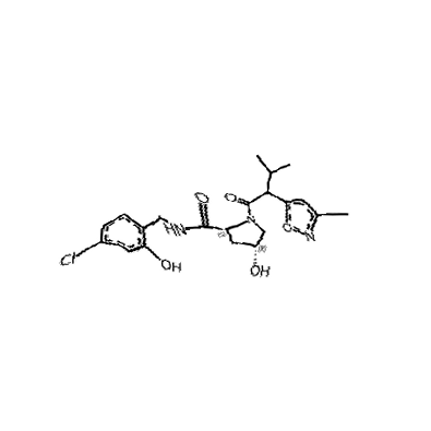 Cc1cc(C(C(=O)N2C[C@H](O)C[C@H]2C(=O)NCc2ccc(Cl)cc2O)C(C)C)on1